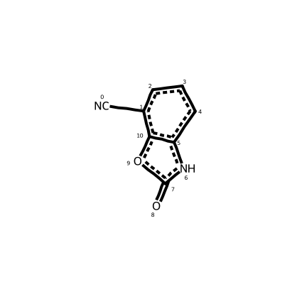 N#Cc1cccc2[nH]c(=O)oc12